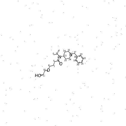 CC(C)N(C(=O)CCCOCCO)C1CCN(Cc2ccccc2)CC1